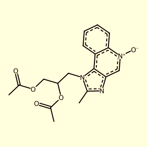 CC(=O)OCC(Cn1c(C)nc2c[n+]([O-])c3ccccc3c21)OC(C)=O